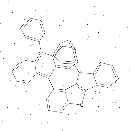 c1ccc(-c2c3ccccc3c(-c3cccc4oc5c6ccccc6n(-c6ccccc6)c5c34)c3ccccc23)cc1